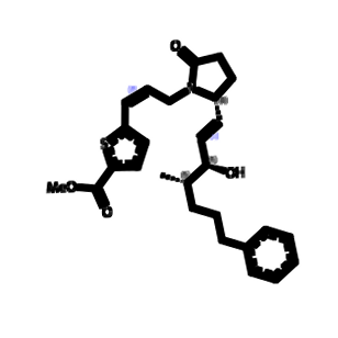 COC(=O)c1ccc(/C=C\CN2C(=O)CC[C@@H]2/C=C/[C@@H](O)[C@@H](C)CCCc2ccccc2)s1